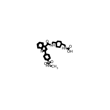 CNS(=O)(=O)c1ccc(-c2cc(C(=O)NCC3CCC(CNC(=O)O)CC3)c3ccccc3n2)cc1